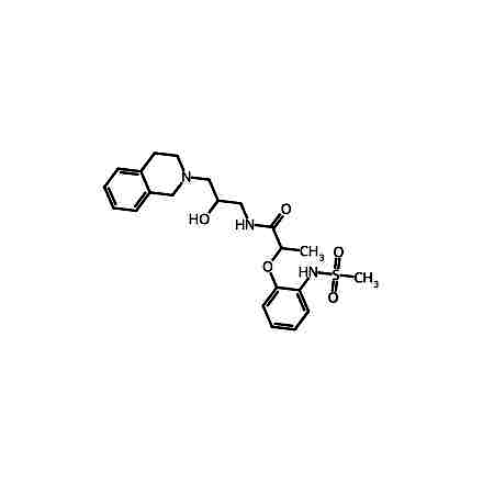 CC(Oc1ccccc1NS(C)(=O)=O)C(=O)NCC(O)CN1CCc2ccccc2C1